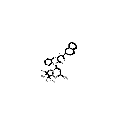 CC(C)CC(NC(=O)[C@H](Cc1ccccc1)NC(=O)C1CCc2ccccc2C1)B1OC(C)(C)C(C)(C)O1